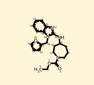 CCOC(=O)N1CCCC(Nc2nc3ccccc3n2Cc2ccco2)CC1